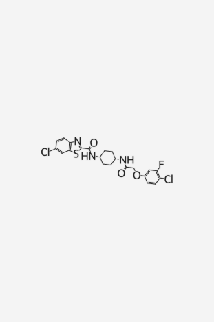 O=C(COc1ccc(Cl)c(F)c1)N[C@H]1CC[C@H](NC(=O)c2nc3ccc(Cl)cc3s2)CC1